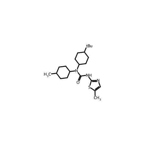 Cc1cnc(NC(=O)N(C2CCC(C)CC2)C2CCC(C(C)(C)C)CC2)s1